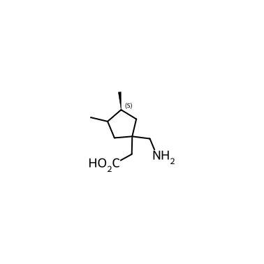 CC1CC(CN)(CC(=O)O)C[C@@H]1C